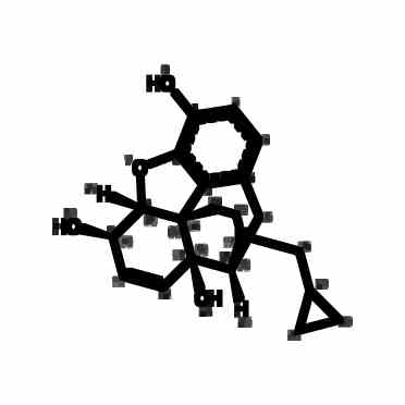 Oc1ccc2c3c1O[C@H]1[C@H](O)C=C[C@@]4(O)[C@@H](C2)N(CC2CC2)CC[C@]314